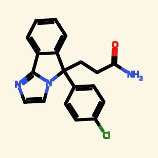 NC(=O)CCC1(c2ccc(Cl)cc2)c2ccccc2-c2nccn21